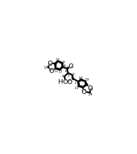 O=C(CC(CO)C(=O)c1ccc2c(c1)OCO2)c1ccc2c(c1)OCO2